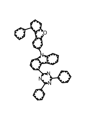 c1ccc(-c2nc(-c3ccccc3)nc(-c3cccc4c3c3ccccc3n4-c3ccc4c(c3)oc3cccc(-c5ccccc5)c34)n2)cc1